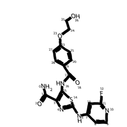 NC(=O)c1nc(Nc2ccnc(F)c2)sc1NC(=O)c1ccc(OCCO)cc1